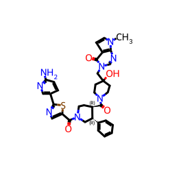 Cn1ccc2c(=O)n(CC3(O)CCN(C(=O)[C@@H]4CCN(C(=O)c5cnc(-c6ccc(N)nc6)s5)C[C@H]4c4ccccc4)CC3)cnc21